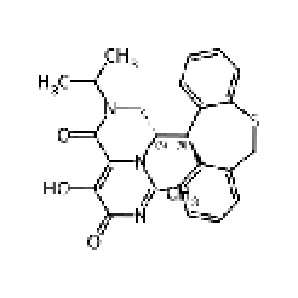 Cc1nc(=O)c(O)c2n1[C@@H]([C@@H]1c3ccccc3CSc3ccccc31)CN(C(C)C)C2=O